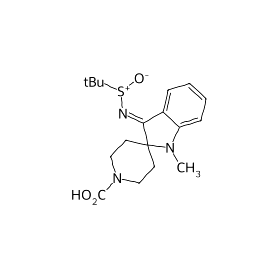 CN1c2ccccc2/C(=N\[S+]([O-])C(C)(C)C)C12CCN(C(=O)O)CC2